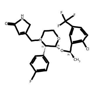 C[C@@H](O[C@H]1OCCN(CC2=CC(=O)NC2)[C@H]1c1ccc(F)cc1)c1cc(C(F)(F)F)ccc1Cl